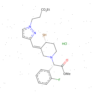 CCOC(=O)CCn1ccc(/C=C2/CN([C@H](C(=O)OC)c3ccccc3F)CC[C@H]2S)n1.Cl